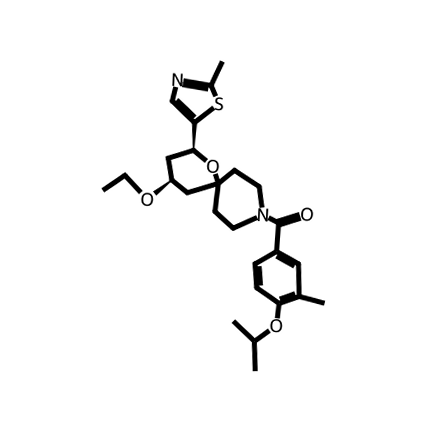 CCO[C@H]1C[C@@H](c2cnc(C)s2)OC2(CCN(C(=O)c3ccc(OC(C)C)c(C)c3)CC2)C1